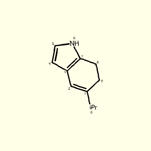 CC(C)C1=Cc2cc[nH]c2CC1